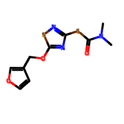 CN(C)C(=O)Sc1nsc(OCc2ccoc2)n1